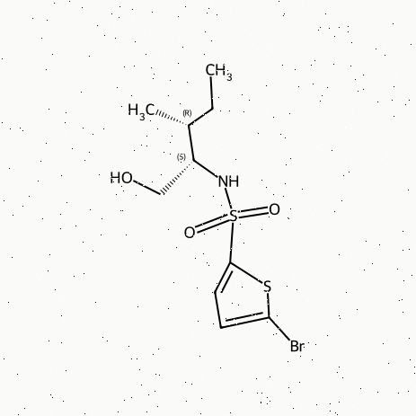 CC[C@@H](C)[C@@H](CO)NS(=O)(=O)c1ccc(Br)s1